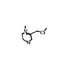 COCC1C[N]CCN1C